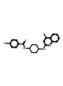 Cc1cc(NC2CCC(NC(=O)c3ccc(Cl)cc3)CC2)nc2ccccc12